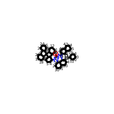 O=C1N(c2cccc3c2-c2ccccc2C32c3ccccc3-c3ccccc32)c2cccc3ccc4c(c23)N1c1ccc2ccccc2c1B4c1ccccc1